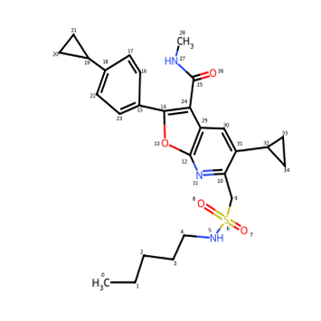 CCCCCNS(=O)(=O)Cc1nc2oc(-c3ccc(C4CC4)cc3)c(C(=O)NC)c2cc1C1CC1